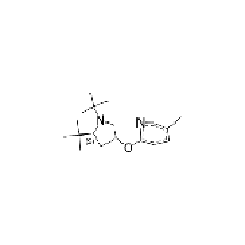 Cc1ccc(OC2C[C@@H](C(C)(C)C)N(C(C)(C)C)C2)nc1